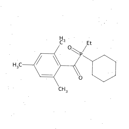 CCP(=O)(C(=O)c1c(C)cc(C)cc1C)C1CCCCC1